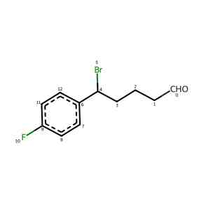 O=CCCCC(Br)c1ccc(F)cc1